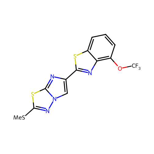 CSc1nn2cc(-c3nc4c(OC(F)(F)F)cccc4s3)nc2s1